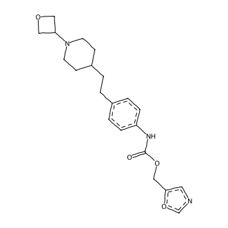 O=C(Nc1ccc(CCC2CCN(C3COC3)CC2)cc1)OCc1cnco1